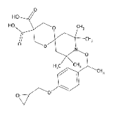 CC(ON1C(C)(C)CC2(CC1(C)C)OCC(C(=O)O)(C(=O)O)CO2)c1ccc(OCC2CO2)cc1